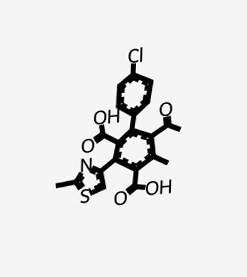 CC(=O)c1c(C)c(C(=O)O)c(-c2csc(C)n2)c(C(=O)O)c1-c1ccc(Cl)cc1